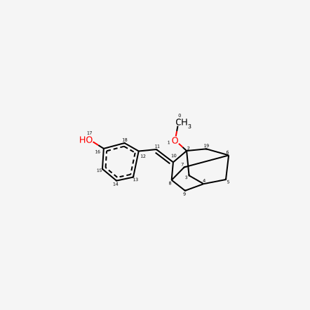 COC12CC3CC(CC(C3)C1=Cc1cccc(O)c1)C2